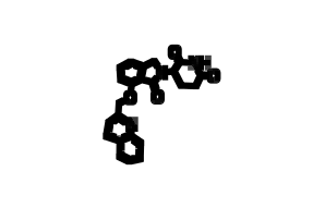 O=C1CCC(N2Cc3cccc(OCc4ccc5ccccc5n4)c3C2=O)C(=O)N1